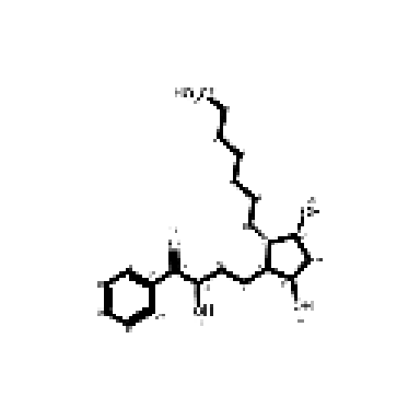 O=C(O)CCCCCC[C@@H]1C(CCC(O)C(=O)c2ccccc2)C(O)C[C@@H]1O